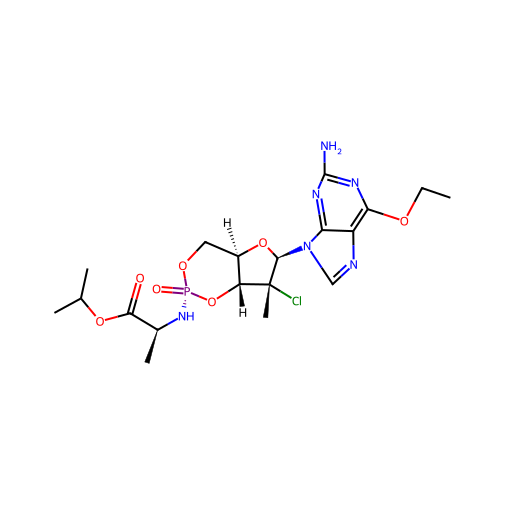 CCOc1nc(N)nc2c1ncn2[C@@H]1O[C@@H]2CO[P@@](=O)(N[C@@H](C)C(=O)OC(C)C)O[C@H]2[C@@]1(C)Cl